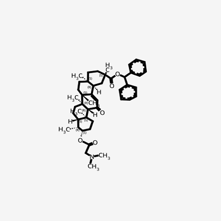 C[C@H]1[C@@H](OC(=O)CN(C)C)CC[C@]2(C)[C@H]3C(=O)C=C4[C@@H]5C[C@@](C)(C(=O)OC(c6ccccc6)c6ccccc6)CC[C@]5(C)CC[C@@]4(C)[C@]3(C)CC[C@@H]12